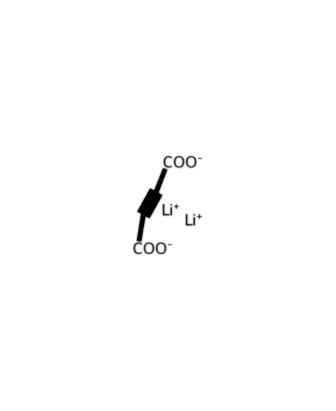 O=C([O-])C#CC(=O)[O-].[Li+].[Li+]